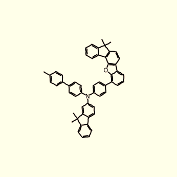 Cc1ccc(-c2ccc(N(c3ccc(-c4cccc5c4oc4c6c(ccc45)C(C)(C)c4ccccc4-6)cc3)c3ccc4c(c3)C(C)(C)c3ccccc3-4)cc2)cc1